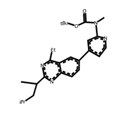 CCc1nc(C(C)CC(C)C)nc2ccc(-c3ccnc(N(C)C(=O)OC(C)(C)C)c3)cc12